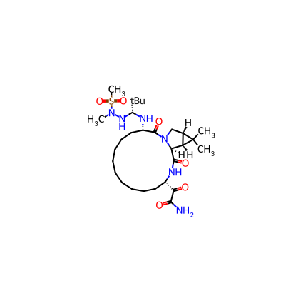 CN(N[C@@H](N[C@H]1CCCCCCCCC[C@@H](C(=O)C(N)=O)NC(=O)[C@@H]2[C@@H]3[C@H](CN2C1=O)C3(C)C)C(C)(C)C)S(C)(=O)=O